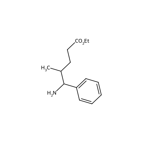 CCOC(=O)CCC(C)C(N)c1ccccc1